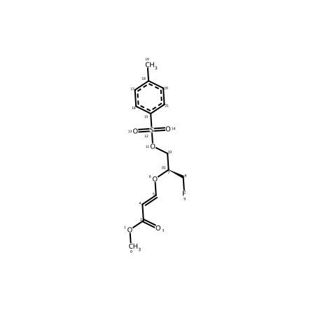 COC(=O)C=CO[C@H](CF)COS(=O)(=O)c1ccc(C)cc1